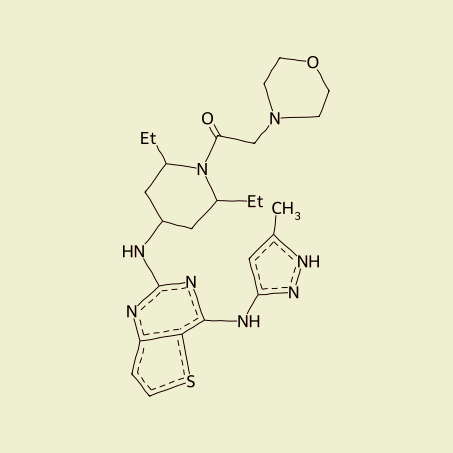 CCC1CC(Nc2nc(Nc3cc(C)[nH]n3)c3sccc3n2)CC(CC)N1C(=O)CN1CCOCC1